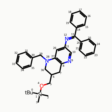 CC(C)(C)[Si](C)(C)OCC1Cc2ncc(N=C(c3ccccc3)c3ccccc3)cc2N(Cc2ccccc2)C1